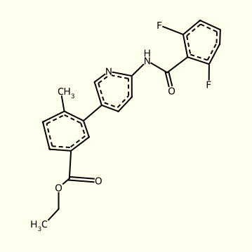 CCOC(=O)c1ccc(C)c(-c2ccc(NC(=O)c3c(F)cccc3F)nc2)c1